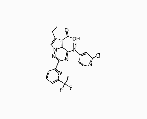 CCc1cn2nc(-c3cccc(C(F)(F)F)n3)nc(Nc3ccnc(Cl)c3)c2c1C(=O)O